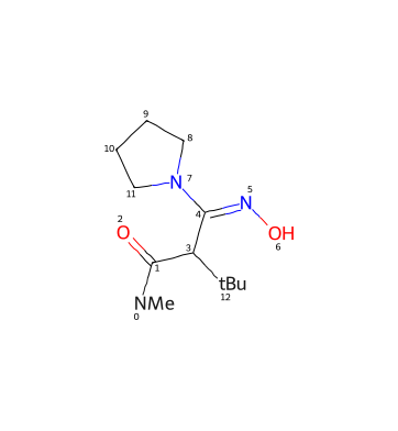 CNC(=O)C(C(=NO)N1CCCC1)C(C)(C)C